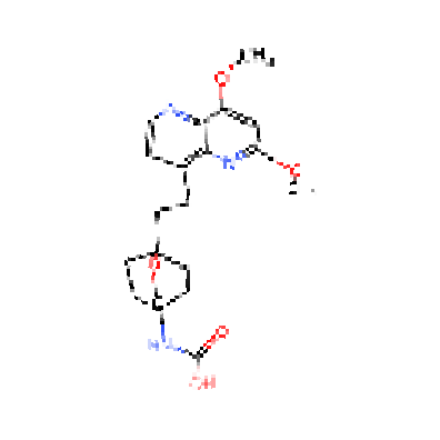 COc1cc(OC)c2nccc(CCC34CCC(NC(=O)O)(CC3)CO4)c2n1